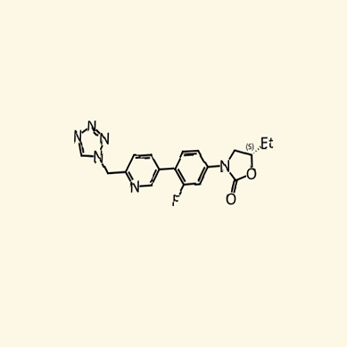 CC[C@H]1CN(c2ccc(-c3ccc(Cn4cnnn4)nc3)c(F)c2)C(=O)O1